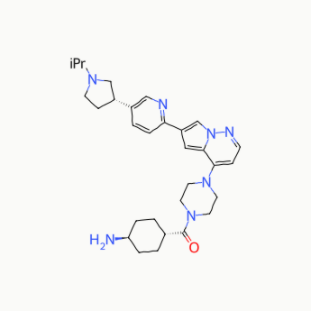 CC(C)N1CC[C@@H](c2ccc(-c3cc4c(N5CCN(C(=O)[C@H]6CC[C@H](N)CC6)CC5)ccnn4c3)nc2)C1